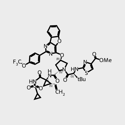 C=C[C@@H]1C[C@]1(NC(=O)[C@@H]1C[C@@H](Oc2nc(-c3ccc(OC(F)(F)F)cc3)nc3c2oc2ccccc23)CN1C(=O)[C@@H](Nc1nc(C(=O)OC)cs1)C(C)(C)C)C(=O)NS(=O)(=O)C1CC1